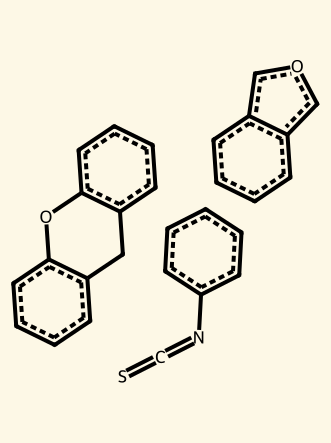 S=C=Nc1ccccc1.c1ccc2c(c1)Cc1ccccc1O2.c1ccc2cocc2c1